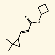 CC1(C)CC1C=CC(=O)OC1CCC1